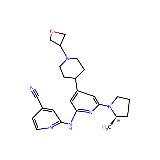 C[C@@H]1CCCN1c1cc(C2CCN(C3COC3)CC2)cc(Nc2cc(C#N)ccn2)n1